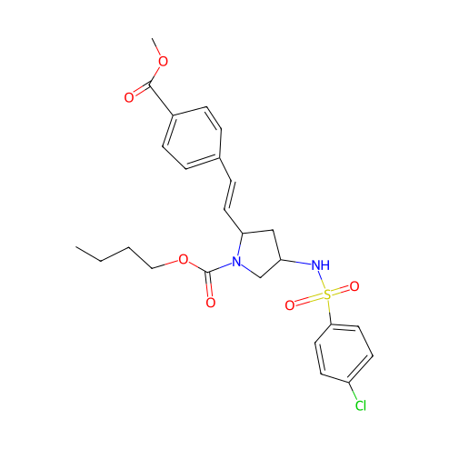 CCCCOC(=O)N1CC(NS(=O)(=O)c2ccc(Cl)cc2)CC1C=Cc1ccc(C(=O)OC)cc1